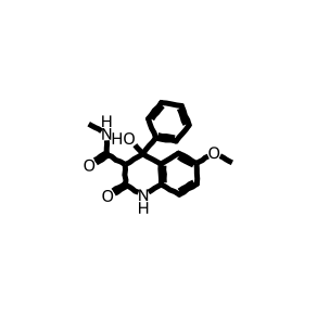 CNC(=O)C1C(=O)Nc2ccc(OC)cc2C1(O)c1ccccc1